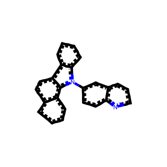 c1cnc2ccc(-n3c4ccccc4c4ccc5ccccc5c43)cc2c1